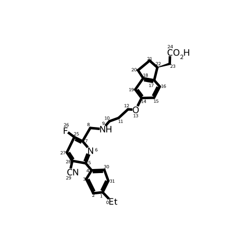 CCc1ccc(-c2nc(CNCCCOc3ccc4c(c3)CC[C@H]4CC(=O)O)c(F)cc2C#N)cc1